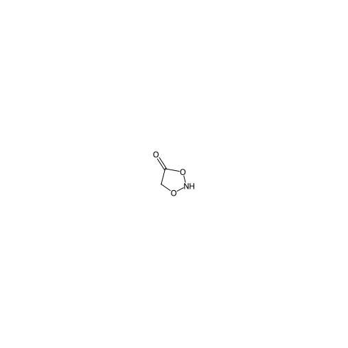 O=C1CONO1